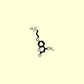 CCCCOc1ccc2c(C)cc(=O)oc2c1